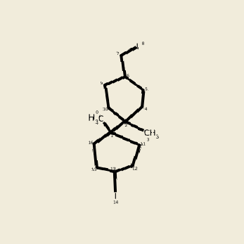 CC1(C2(C)CCC(CI)CC2)CCC(I)CC1